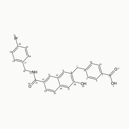 O=C(O)c1ccc(Cc2cc3cc(C(=O)NCc4ccc(Br)cc4)ccc3cc2O)cc1